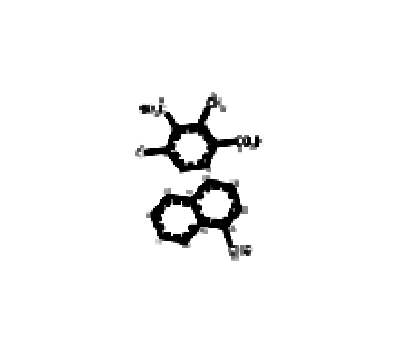 Cc1c(C(=O)O)ccc(Cl)c1C(=O)O.O=Cc1cccc2ccccc12